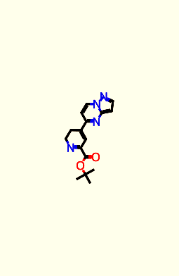 CC(C)(C)OC(=O)C1=NCCC(c2ccn3nccc3n2)=C1